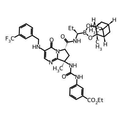 CCOC(=O)c1cccc(NC(=O)N[C@]2(C)C[C@@H](C(=O)N[C@@H](CC)B3O[C@@H]4C[C@@H]5C[C@@H](C5(C)C)[C@]4(C)O3)n3c2ncc(NCc2cccc(C(F)(F)F)c2)c3=O)c1